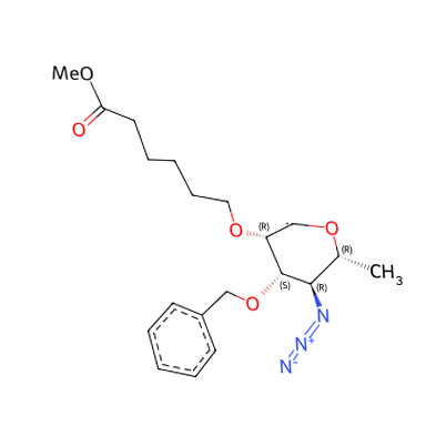 COC(=O)CCCCCO[C@@H]1[CH]O[C@H](C)[C@@H](N=[N+]=[N-])[C@@H]1OCc1ccccc1